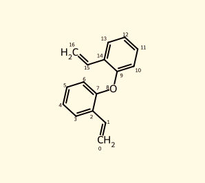 C=Cc1ccccc1Oc1ccccc1C=C